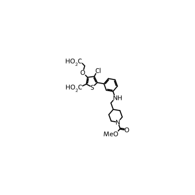 COC(=O)N1CCC(CNc2cccc(-c3sc(C(=O)O)c(OCC(=O)O)c3Cl)c2)CC1